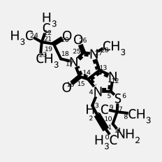 CC#CCn1c(SC(C)(C)CN)nc2c1c(=O)n(CC(=O)C(C)(C)C)c(=O)n2C